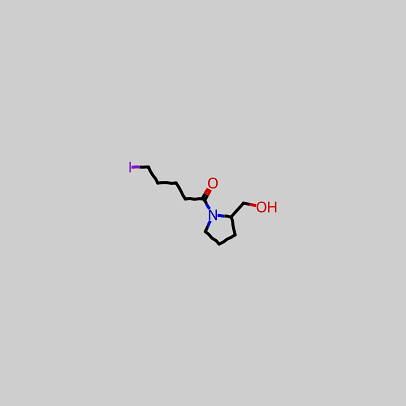 O=C(CCCCI)N1CCCC1CO